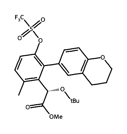 COC(=O)[C@@H](OC(C)(C)C)c1c(C)ccc(OS(=O)(=O)C(F)(F)F)c1-c1ccc2c(c1)CCCO2